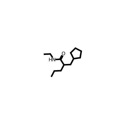 CCCC(CC1CCCC1)C(=O)NCC